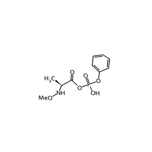 CON[C@@H](C)C(=O)OP(=O)(O)Oc1ccccc1